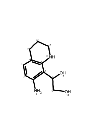 Nc1ccc2c(c1C(O)CO)NCCC2